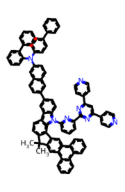 CC1(C)c2cc3c4ccccc4c4ccccc4c3cc2-c2c1ccc1c3cc(-c4ccc5cc(N(c6ccc(-c7ccccc7)cc6)c6ccccc6-c6ccccc6)ccc5c4)ccc3n(-c3cccc(-c4nc(-c5ccncc5)cc(-c5ccncc5)n4)n3)c21